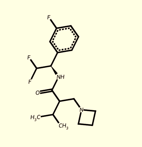 CC(C)C(CN1CCC1)C(=O)N[C@H](c1cccc(F)c1)C(F)F